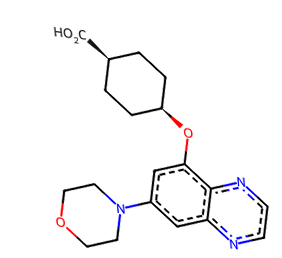 O=C(O)[C@H]1CC[C@@H](Oc2cc(N3CCOCC3)cc3nccnc23)CC1